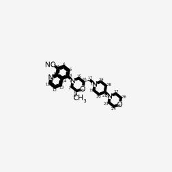 C[C@@H]1CN(c2ccc(C#N)c3ncccc23)C[C@H](CN2CCC(N3CCOCC3)CC2)O1